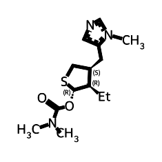 CC[C@@H]1[C@H](Cc2cncn2C)CS[C@H]1OC(=O)N(C)C